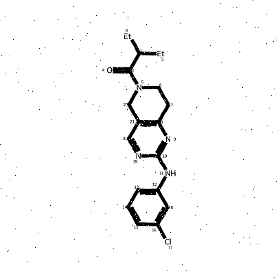 CCC(CC)C(=O)N1CCc2nc(Nc3cccc(Cl)c3)ncc2C1